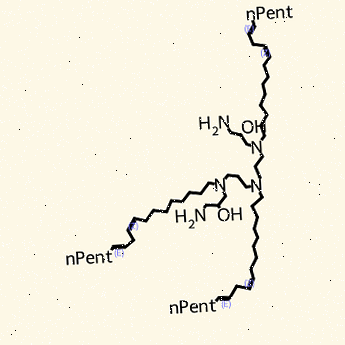 CCCCC/C=C/C/C=C\CCCCCCCCN(CCCN(CCCCCCCC/C=C\C/C=C/CCCCC)CC(O)CN)CCCN(CCCCCCCC/C=C\C/C=C/CCCCC)CC(O)CN